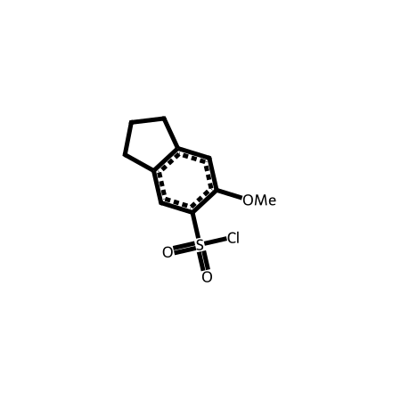 COc1cc2c(cc1S(=O)(=O)Cl)CCC2